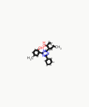 Cc1ccc(O)c(-c2nc(C3=CCCC=C3)nc(-c3cc(C)ccc3O)n2)c1